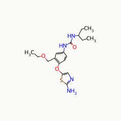 CCOCc1cc(NC(=O)NC(CC)CC)ccc1Oc1cnc(N)s1